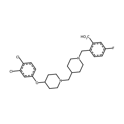 O=C(O)c1cc(F)ccc1CN1CCC(CN2CCC(Oc3ccc(Cl)c(Cl)c3)CC2)CC1